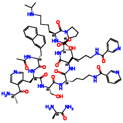 CC(=O)N[C@H](Cc1ccc2ccccc2c1)C(=O)N[C@H](Cc1cnccc1C(=O)[C@H](C)N)C(=O)N[C@@H](CO)C(=O)N[C@@H](CCCCNC(=O)c1cccnc1)C(=O)N[C@H](CCCCNC(=O)c1cccnc1)C(=O)N[C@@H](CC(C)C)C(=O)N[C@@H](CCCCNC(C)C)C(=O)N1CCC[C@H]1C(=O)O.C[C@@H](N)C(N)=O